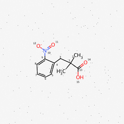 CC(C)(Cc1ccccc1[N+](=O)[O-])C(=O)O